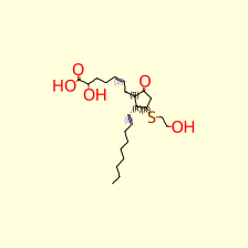 CCCCCCC/C=C/[C@H]1[C@H](SCCO)CC(=O)[C@@H]1C/C=C\CCC(O)C(=O)O